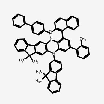 Cc1ccccc1-c1cc(-c2c(Nc3ccc(-c4ccccc4)cc3)ccc3ccccc23)c2c(c1)N(c1ccc3c(c1)C(C)(C)c1ccccc1-3)c1cc3c(cc1B2)-c1ccccc1C3(C)C